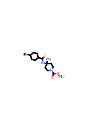 CC(C)C1CCC(C(=O)NC2(C#N)CCN(C(=O)OC(C)(C)C)CC2)CC1